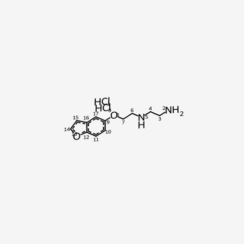 Cl.Cl.NCCNCCOc1ccc2occc2c1